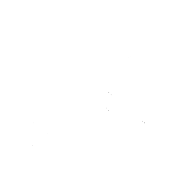 COC(=O)c1cc2cc(C3CCOC(C)(C)C3)cnn2c1CC#N